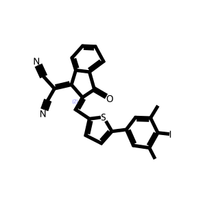 Cc1cc(-c2ccc(/C=C3\C(=O)c4ccccc4C3=C(C#N)C#N)s2)cc(C)c1I